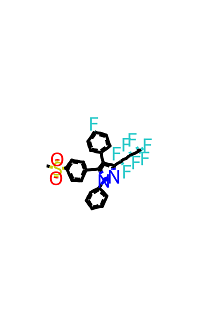 CS(=O)(=O)c1ccc(-c2c(-c3ccc(F)cc3)c(C(F)(F)C(F)(F)C(F)(F)F)nn2-c2ccccc2)cc1